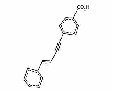 O=C(O)c1ccc(C#C/C=C/c2ccccc2)cc1